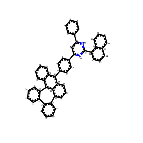 c1ccc(-c2cc(-c3ccc(-c4c5ccccc5c5c6c(cccc46)-c4ccccc4-c4ccccc4-5)cc3)nc(-c3cccc4ccccc34)n2)cc1